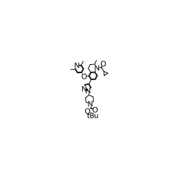 Cc1cc(Oc2c(-c3cnn(C4CCN(C(=O)OC(C)(C)C)CC4)c3)ccc3c2CCC(C)N3C(=O)C2CC2)cc(C)n1